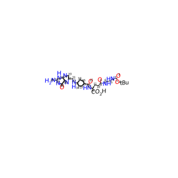 CC(C)(C)OC(=O)NCCNC(=O)CCC(NC(=O)c1ccc(NCc2cnc3[nH]c(N)nc(=O)c3n2)cc1)C(=O)O